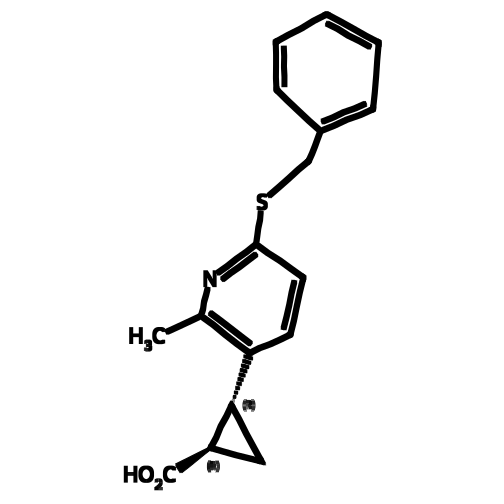 Cc1nc(SCc2ccccc2)ccc1[C@@H]1C[C@H]1C(=O)O